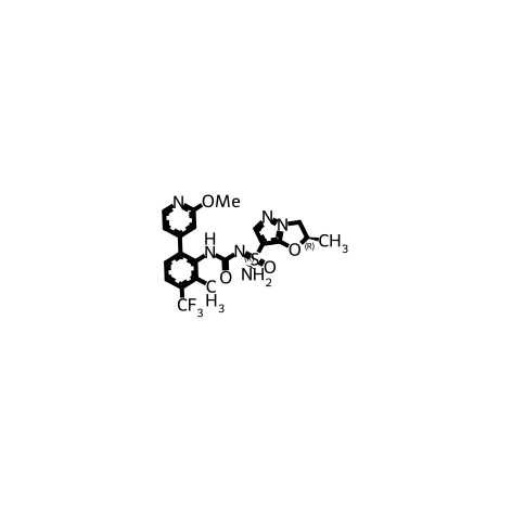 COc1cc(-c2ccc(C(F)(F)F)c(C)c2NC(=O)N=[S@@](N)(=O)c2cnn3c2O[C@H](C)C3)ccn1